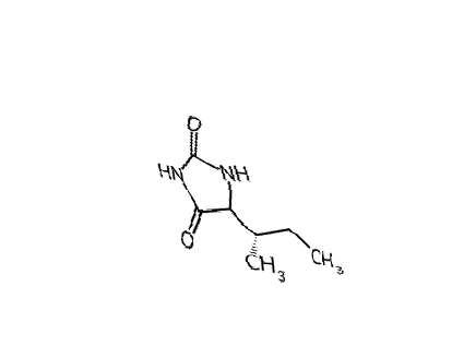 CC[C@H](C)C1NC(=O)NC1=O